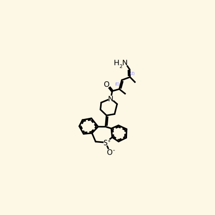 CC(=C/N)/C=C(\C)C(=O)N1CCC(=C2c3ccccc3C[S+]([O-])c3ccccc32)CC1